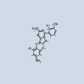 N#Cc1cccc(-c2nc(N)nc3c2ncn3Cc2c(F)cc(N)cc2F)c1F